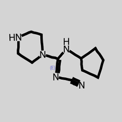 N#C/N=C(\NC1CCCC1)N1CCNCC1